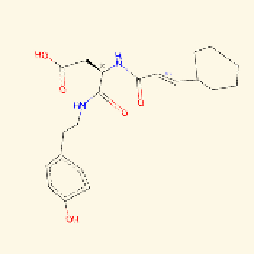 O=C(O)C[C@@H](NC(=O)/C=C/C1CCCCC1)C(=O)NCCc1ccc(O)cc1